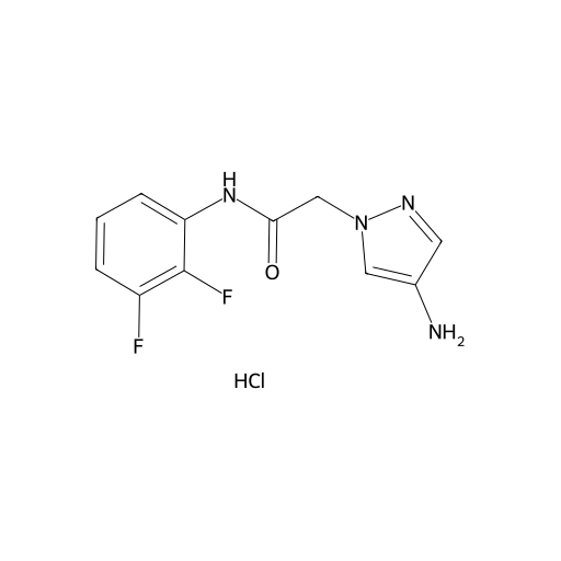 Cl.Nc1cnn(CC(=O)Nc2cccc(F)c2F)c1